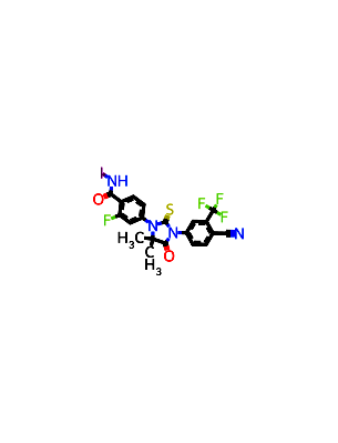 CC1(C)C(=O)N(c2ccc(C#N)c(C(F)(F)F)c2)C(=S)N1c1ccc(C(=O)NI)c(F)c1